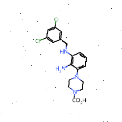 Nc1c(NCc2cc(Cl)cc(Cl)c2)cccc1N1CCN(C(=O)O)CC1